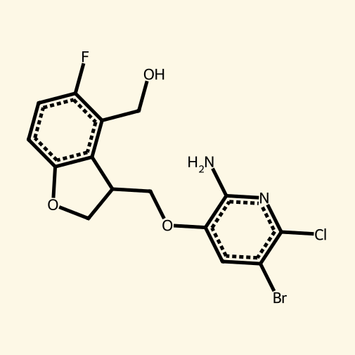 Nc1nc(Cl)c(Br)cc1OCC1COc2ccc(F)c(CO)c21